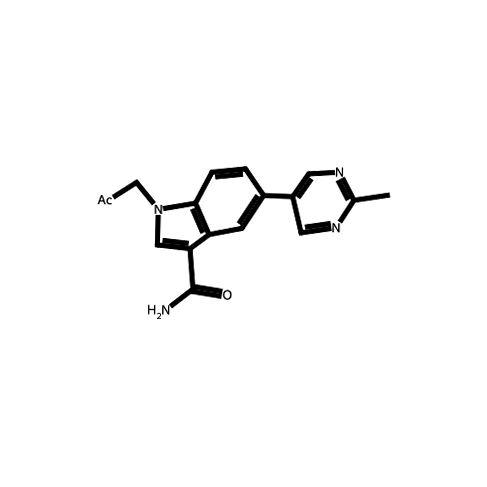 CC(=O)Cn1cc(C(N)=O)c2cc(-c3cnc(C)nc3)ccc21